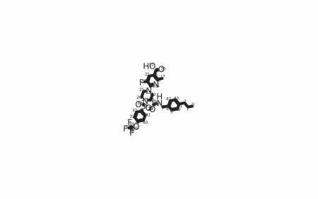 CCCc1ccc(CNC(=O)[C@H]2CN(c3nc(C)c(C(=O)O)cc3F)CCN2S(=O)(=O)c2ccc(OC(F)(F)F)cc2)cc1